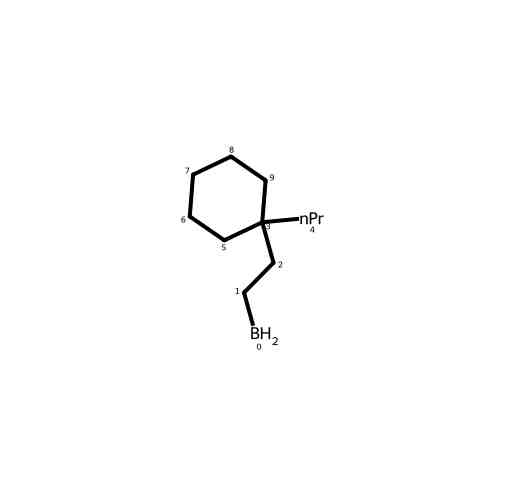 BCCC1(CCC)CCCCC1